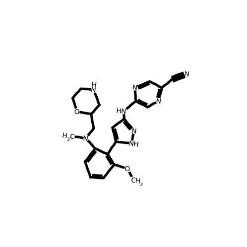 COc1cccc(N(C)CC2CNCCO2)c1-c1cc(Nc2cnc(C#N)cn2)n[nH]1